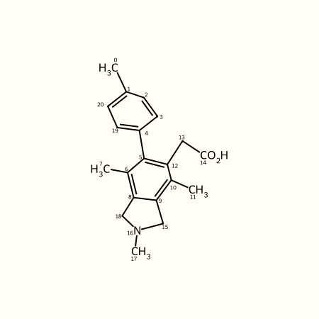 Cc1ccc(-c2c(C)c3c(c(C)c2CC(=O)O)CN(C)C3)cc1